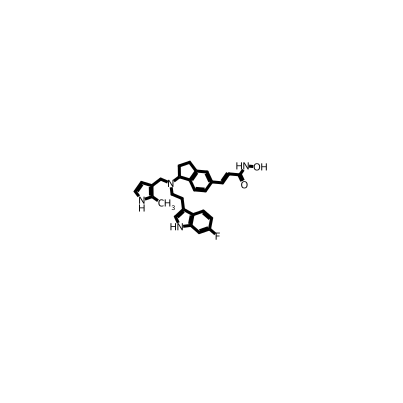 Cc1[nH]ccc1CN(CCc1c[nH]c2cc(F)ccc12)C1CCc2cc(C=CC(=O)NO)ccc21